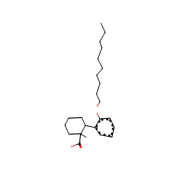 CCCCCCCCCCOc1ccccc1C1CCCCC1(C)C(=O)O